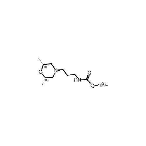 C[C@@H]1CN(CCCNC(=O)OC(C)(C)C)C[C@H](C)O1